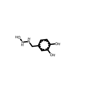 ONNCc1ccc(O)c(O)c1